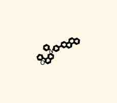 c1ccc(N(c2ccc(-c3ccc4c(ccc5c6ccccc6ccc45)c3)cc2)c2ccc3ccc4oc5ccccc5c4c3c2)cc1